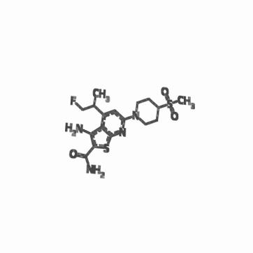 CC(CF)c1cc(N2CCC(S(C)(=O)=O)CC2)nc2sc(C(N)=O)c(N)c12